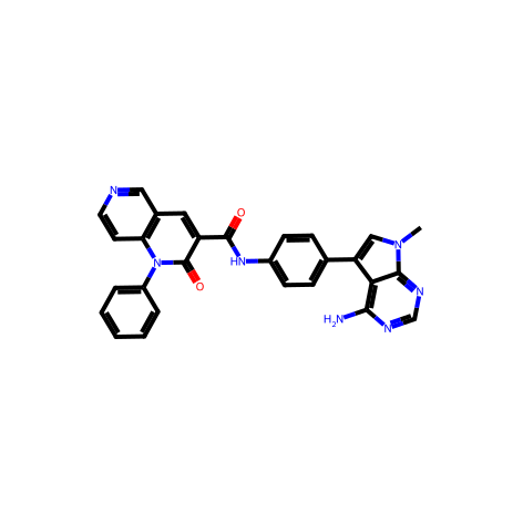 Cn1cc(-c2ccc(NC(=O)c3cc4cnccc4n(-c4ccccc4)c3=O)cc2)c2c(N)ncnc21